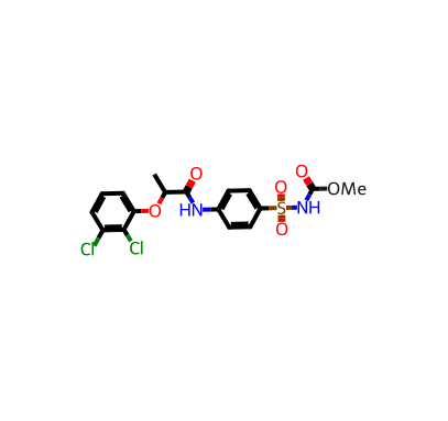 COC(=O)NS(=O)(=O)c1ccc(NC(=O)C(C)Oc2cccc(Cl)c2Cl)cc1